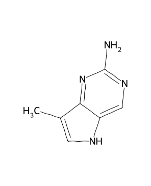 Cc1c[nH]c2cnc(N)nc12